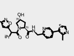 Cc1cc(C(C(=O)N2C[C@H](O)C[C@H]2C(=O)NCc2ccc(-c3scnc3C)cn2)C(C)C)on1